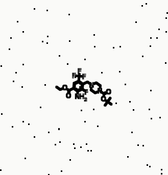 CCOC(=O)c1cc(C(F)(F)F)c(CN2CCN(C(=O)OC(C)(C)C)CC2)c(F)c1N